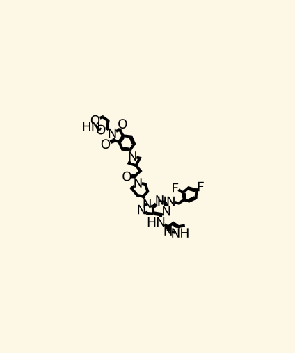 Cc1cc(Nc2nc(NCc3ccc(F)cc3F)nc3c2cnn3C2CCN(C(=O)CC3CN(c4ccc5c(c4)C(=O)N(C4CCONO4)C5=O)C3)CC2)n[nH]1